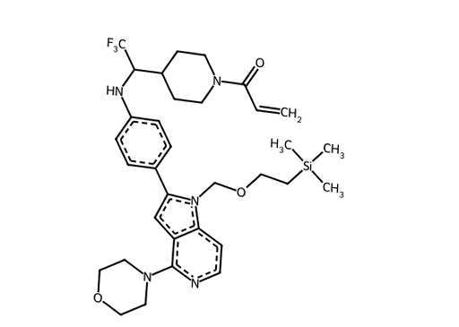 C=CC(=O)N1CCC(C(Nc2ccc(-c3cc4c(N5CCOCC5)nccc4n3COCC[Si](C)(C)C)cc2)C(F)(F)F)CC1